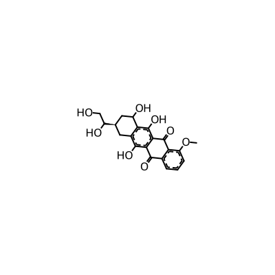 COc1cccc2c1C(=O)c1c(O)c3c(c(O)c1C2=O)C[C@@H](C(O)CO)CC3O